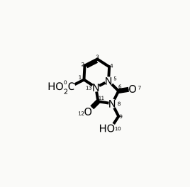 O=C(O)C1C=CCn2c(=O)n(CO)c(=O)n21